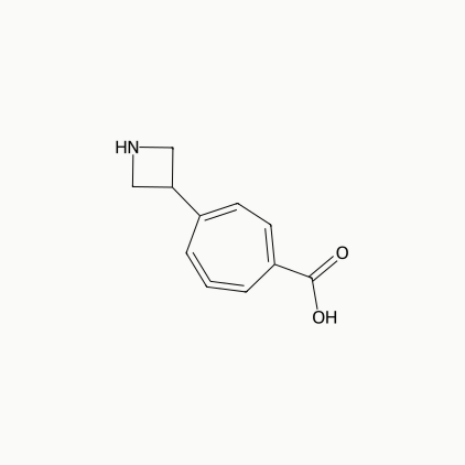 O=C(O)C1=CC=C(C2CNC2)C=C=C1